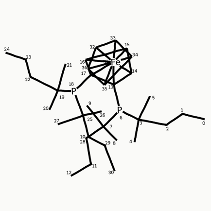 CCCC(C)(C)P(C(C)(C)CCC)[C]12[CH]3[CH]4[CH]5[C]1(P(C(C)(C)CCC)C(C)(C)CCC)[Fe]43521678[CH]2[CH]1[CH]6[CH]7[CH]28